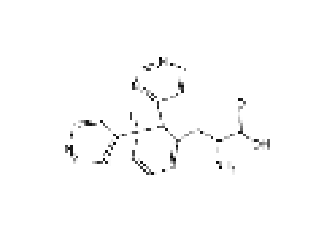 NC(CC1=CC=CC(F)(c2ccncn2)C1c1ccncn1)C(=O)O